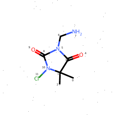 CC1(C)C(=O)N(CN)C(=O)N1Cl